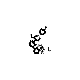 CCC1CN(c2ccc(Br)cc2)CCC1c1nccc2c1[nH]c1c(S(N)(=O)=O)cccc12